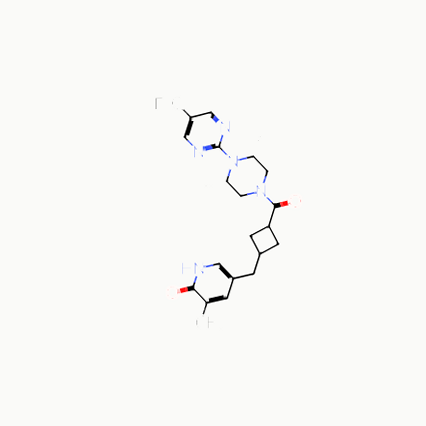 C[C@@H]1CN(C(=O)C2CC(Cc3c[nH]c(=O)c(C(F)(F)F)c3)C2)C[C@H](C)N1c1ncc(C(F)(F)F)cn1